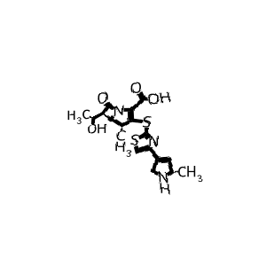 C[C@H]1C=C(c2csc(SC3=C(C(=O)O)N4C(=O)[C@H]([C@@H](C)O)C4[C@H]3C)n2)CN1